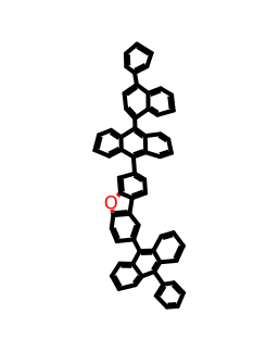 c1ccc(-c2ccc(-c3c4ccccc4c(-c4ccc5c(c4)oc4ccc(-c6c7ccccc7c(-c7ccccc7)c7ccccc67)cc45)c4ccccc34)c3ccccc23)cc1